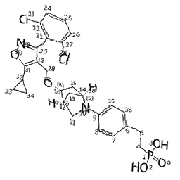 O=P(O)(O)CCc1ccc(N2C[C@@H]3C[C@H]2C[C@H]3OCc2c(-c3c(Cl)cccc3Cl)noc2C2CC2)cc1